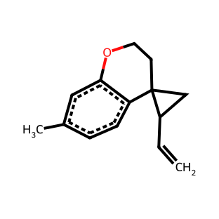 C=CC1CC12CCOc1cc(C)ccc12